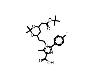 Cc1c(C(=O)O)nc(-c2ccc(F)cc2)n1CCC1CC(CC(=O)OC(C)(C)C)OC(C)(C)O1